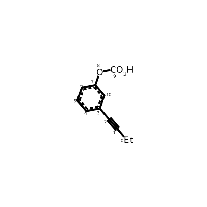 CCC#Cc1cccc(OC(=O)O)c1